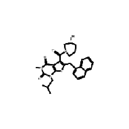 CC(C)Cn1c(=O)n(C)c(=O)c2c(C(=O)N3CCC[C@@H](O)C3)c(Cc3cccc4ccccc34)sc21